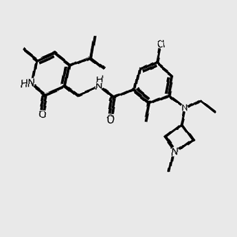 CCN(c1cc(Cl)cc(C(=O)NCc2c(C(C)C)cc(C)[nH]c2=O)c1C)C1CN(C)C1